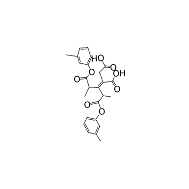 Cc1cccc(OC(=O)C(C)C(=C(CC(=O)O)C(=O)O)C(C)C(=O)Oc2cccc(C)c2)c1